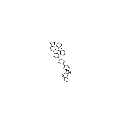 N#CC1=CC2C(C=C1)c1ccc(-c3ccc(-c4ccc5nc6c7ccccc7sc6n5c4)cc3)cc1C21c2ccccc2-c2ccccc21